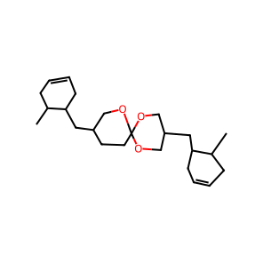 CC1CC=CCC1CC1CCC2(OC1)OCC(CC1CC=CCC1C)CO2